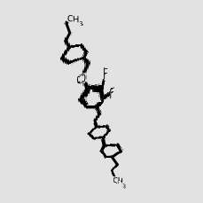 CCCCC1CCC(COc2ccc(CCC3CCC(C4CCC(CCC)CC4)CC3)c(F)c2F)CC1